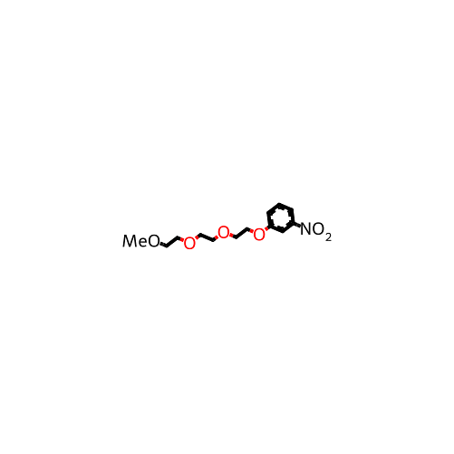 COCCOCCOCCOc1cccc([N+](=O)[O-])c1